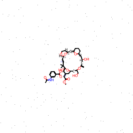 C=C1C[C@H](O)C[C@@H]2CCC[C@H](C[C@@H]3CCO[C@H](/C=C/C(C)(C)[C@]4(O)OC(C/C(=C\C(=O)OC)[C@@H]4OC(=O)c4cccc(NC(C)=O)c4)CC(CO)O1)O3)O2